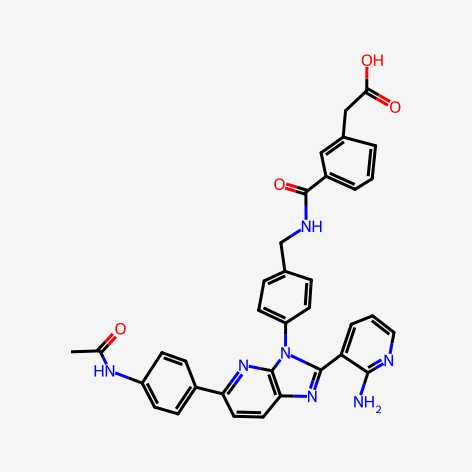 CC(=O)Nc1ccc(-c2ccc3nc(-c4cccnc4N)n(-c4ccc(CNC(=O)c5cccc(CC(=O)O)c5)cc4)c3n2)cc1